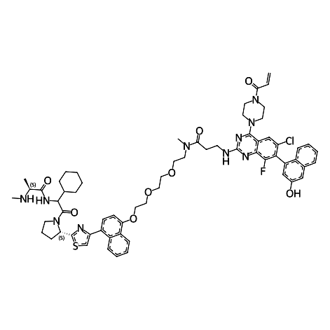 C=CC(=O)N1CCN(c2nc(NCCC(=O)N(C)CCOCCOCCOc3ccc(-c4csc([C@@H]5CCCN5C(=O)C(NC(=O)[C@H](C)NC)C5CCCCC5)n4)c4ccccc34)nc3c(F)c(-c4cc(O)cc5ccccc45)c(Cl)cc23)CC1